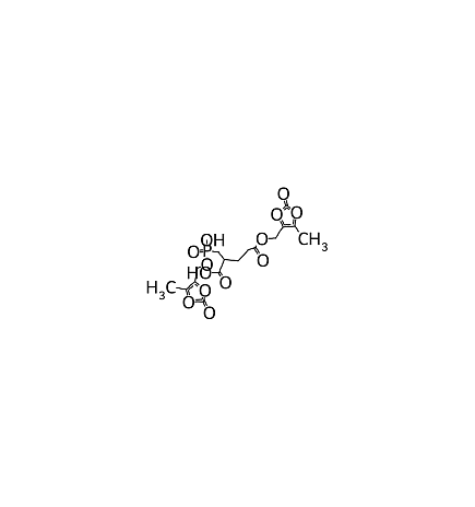 Cc1oc(=O)oc1COC(=O)CCC(CP(=O)(O)OCc1oc(=O)oc1C)C(=O)O